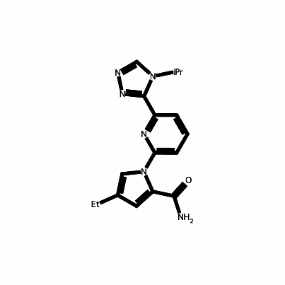 CCc1cc(C(N)=O)n(-c2cccc(-c3nncn3C(C)C)n2)c1